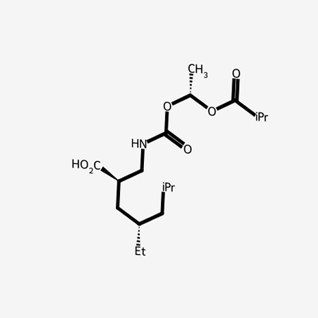 CC[C@@H](CC(C)C)C[C@H](CNC(=O)O[C@H](C)OC(=O)C(C)C)C(=O)O